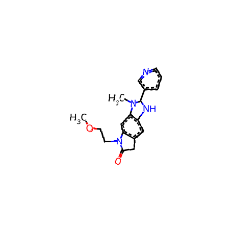 COCCN1C(=O)Cc2cc3c(cc21)N(C)C(c1cccnc1)N3